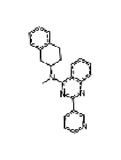 CN(c1nc(-c2cccnc2)nc2ccccc12)[C@@H]1CCc2ccccc2C1